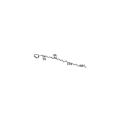 NCCCCNCCCCCCCCNCCCCNCc1ccccc1